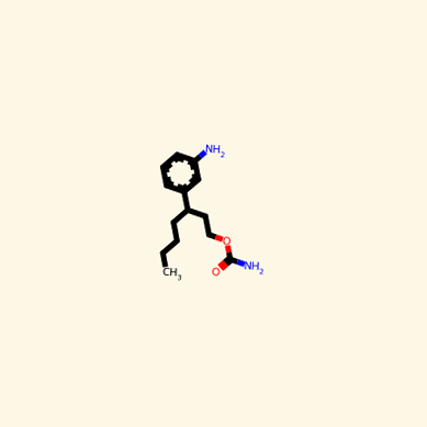 CCCCC(CCOC(N)=O)c1cccc(N)c1